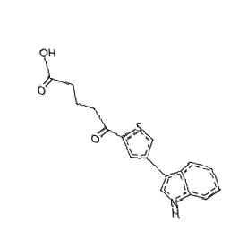 O=C(O)CCCC(=O)c1cc(-c2c[nH]c3ccccc23)cs1